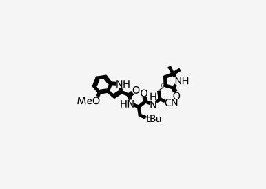 COc1cccc2[nH]c(C(=O)NC(CC(C)(C)C)C(=O)NC(C#N)C[C@@H]3CC(C)(C)NC3=O)cc12